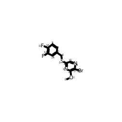 COc1nc(SCc2ccc(F)c(F)c2)cnc1Br